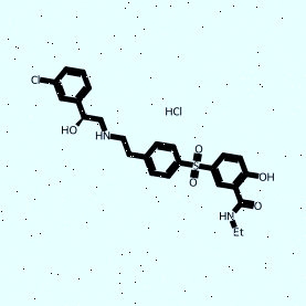 CCNC(=O)c1cc(S(=O)(=O)c2ccc(CCNC[C@@H](O)c3cccc(Cl)c3)cc2)ccc1O.Cl